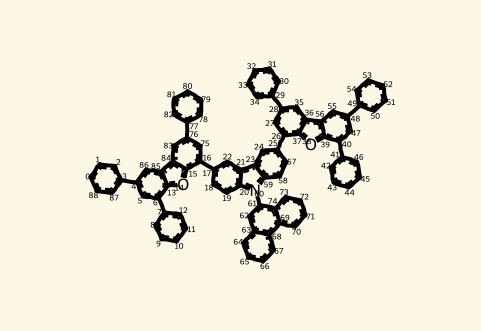 c1ccc(-c2cc(-c3ccccc3)c3oc4c(-c5ccc6c(c5)c5cc(-c7cc(-c8ccccc8)cc8c7oc7c(-c9ccccc9)cc(-c9ccccc9)cc78)ccc5n6-c5cc6ccccc6c6ccccc56)cc(-c5ccccc5)cc4c3c2)cc1